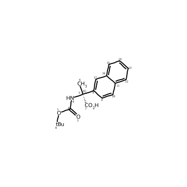 CC(C)(C)OC(=O)N[C@](C)(C(=O)O)c1ccc2ccccc2c1